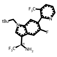 CC(C)(C)Cn1cc([C@@H](N)C(F)(F)F)c2cc(F)c(-c3ncccc3C(F)(F)F)cc21